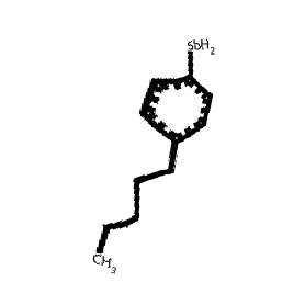 CCCCCc1cc[c]([SbH2])cc1